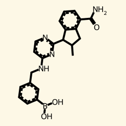 CC1Cc2c(C(N)=O)cccc2C1c1nccc(NCc2cccc(B(O)O)c2)n1